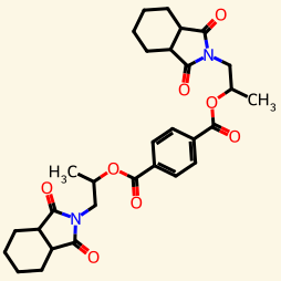 CC(CN1C(=O)C2CCCCC2C1=O)OC(=O)c1ccc(C(=O)OC(C)CN2C(=O)C3CCCCC3C2=O)cc1